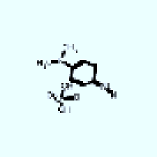 CN(C)C1=CCC(=[N+]=[N-])C=C1.[O]=[Cr](=[O])([OH])[OH]